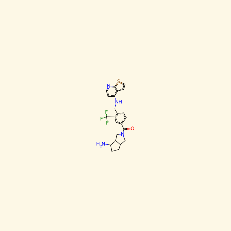 NC1CCC2CN(C(=O)c3ccc(CNc4ccnc5sccc45)c(C(F)(F)F)c3)CC12